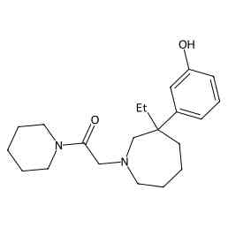 CCC1(c2cccc(O)c2)CCCCN(CC(=O)N2CCCCC2)C1